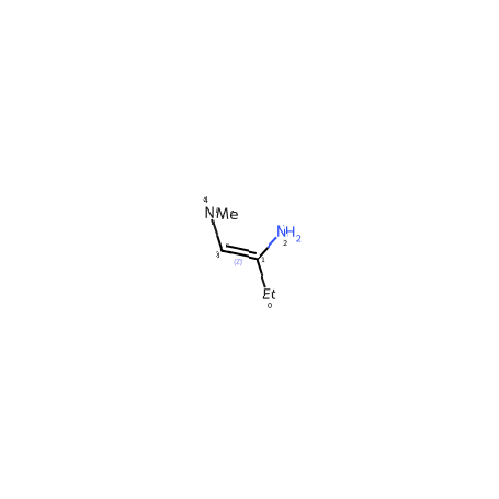 CC/C(N)=C/NC